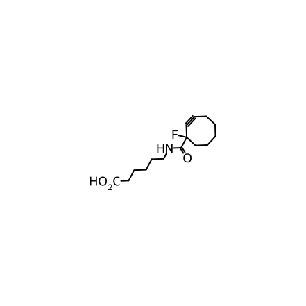 O=C(O)CCCCCNC(=O)C1(F)C#CCCCCC1